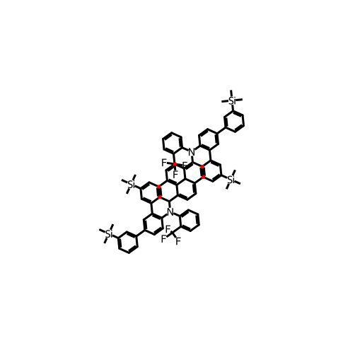 C[Si](C)(C)c1cccc(-c2ccc(N(C3=C4C=CC5=C6C(=CC=C(C=C3)C46)C(N(c3ccc(-c4cccc([Si](C)(C)C)c4)cc3-c3cccc([Si](C)(C)C)c3)c3ccccc3C(F)(F)F)C=C5)c3ccccc3C(F)(F)F)c(-c3cccc([Si](C)(C)C)c3)c2)c1